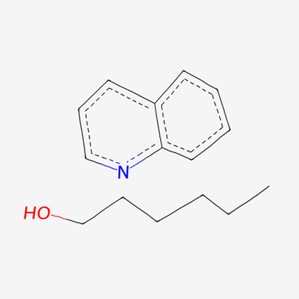 CCCCCCO.c1ccc2ncccc2c1